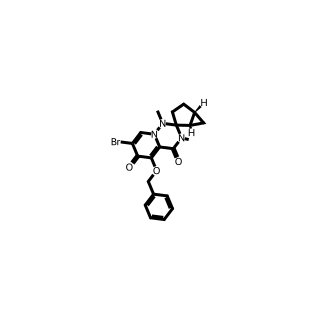 CN1C(=O)c2c(OCc3ccccc3)c(=O)c(Br)cn2N(C)C12CC[C@@H]1C[C@@H]12